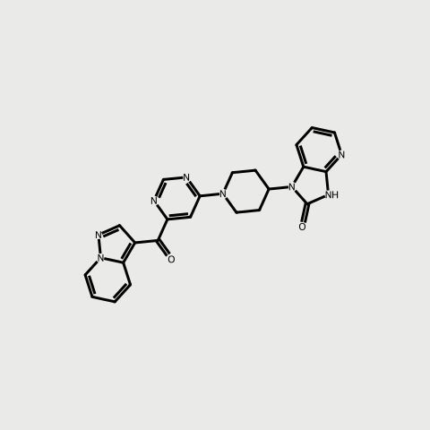 O=C(c1cc(N2CCC(n3c(=O)[nH]c4ncccc43)CC2)ncn1)c1cnn2ccccc12